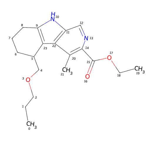 CCCOCC1CCCc2[nH]c3cnc(C(=O)OCC)c(C)c3c21